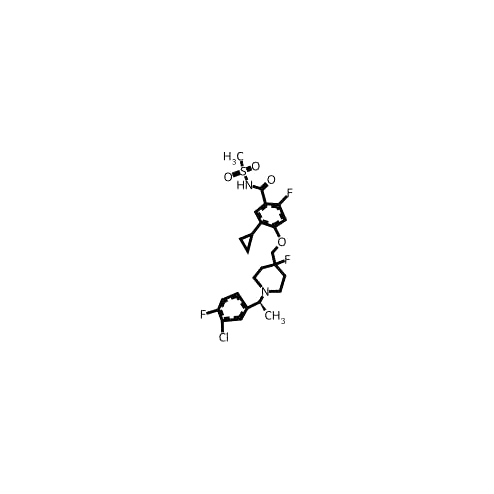 C[C@@H](c1ccc(F)c(Cl)c1)N1CCC(F)(COc2cc(F)c(C(=O)NS(C)(=O)=O)cc2C2CC2)CC1